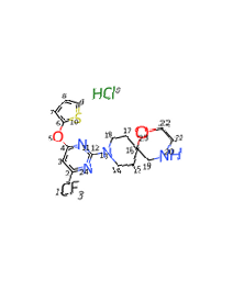 Cl.FC(F)(F)c1cc(Oc2cccs2)nc(N2CCC3(CC2)CNCCO3)n1